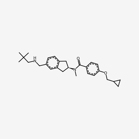 CN(C(=O)c1ccc(OCC2CC2)cc1)[C@@H]1Cc2ccc(CNCC(C)(C)C)cc2C1